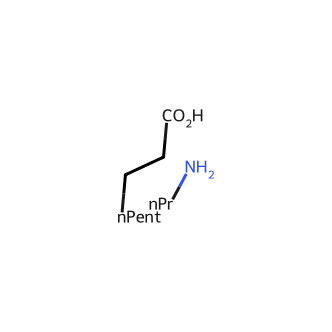 CCCCCCCC(=O)O.CCCN